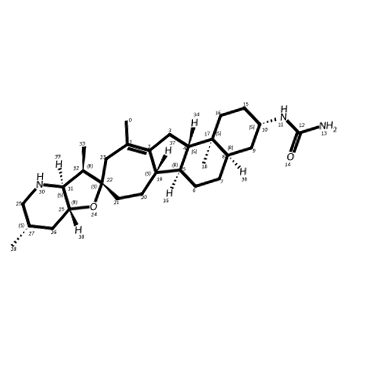 CC1=C2C[C@H]3[C@@H](CC[C@@H]4C[C@@H](NC(N)=O)CC[C@@]43C)[C@@H]2CC[C@@]2(C1)O[C@@H]1C[C@H](C)CN[C@H]1[C@H]2C